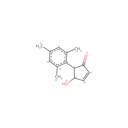 Cc1cc(C)c(C2C(=O)C=CC2O)c(C)c1